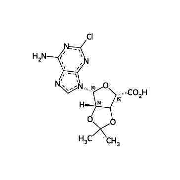 CC1(C)OC2[C@@H](C(=O)O)O[C@@H](n3cnc4c(N)nc(Cl)nc43)[C@H]2O1